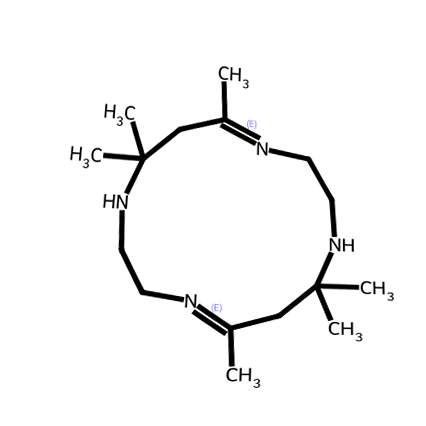 C/C1=N\CCNC(C)(C)C/C(C)=N/CCNC(C)(C)C1